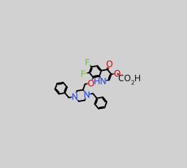 O=C(O)Oc1c[nH]c2c(OCC3CN(Cc4ccccc4)CCN3Cc3ccccc3)c(F)c(F)cc2c1=O